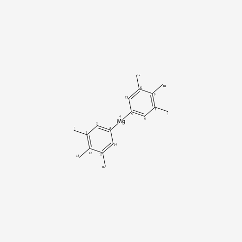 Cc1c[c]([Mg][c]2cc(C)c(C)c(C)c2)cc(C)c1C